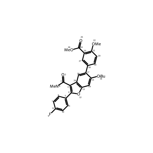 CNC(=O)c1c(-c2ccc(F)cc2)oc2cc(OCC(C)C)c(-c3ccc(OC)c(C(=O)OC)c3)cc12